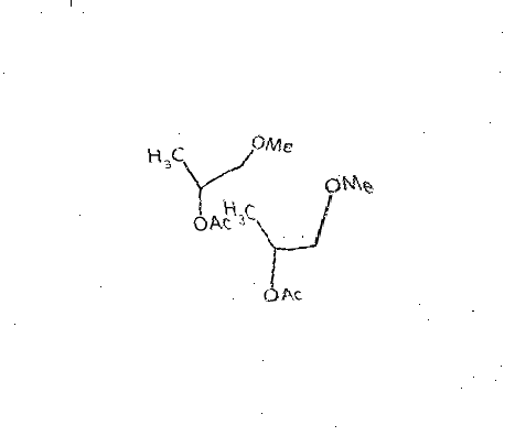 COCC(C)OC(C)=O.COCC(C)OC(C)=O